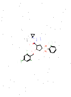 N#CC1(NC(=O)C2C[C@@H](S(=O)(=O)c3ccccc3Cl)C[C@H]2OCc2c(F)cc(Cl)cc2F)CC1